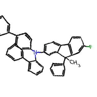 CC1(c2ccccc2)c2cc(F)ccc2-c2ccc(N(c3ccc(-c4ccccc4)cc3)c3ccccc3-c3ccccc3)cc21